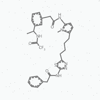 CC(NC(=O)C(F)(F)F)c1cccc(CC(=O)Nc2ccc(CCCCc3nnc(NC(=O)Cc4ccccc4)s3)n2C)c1